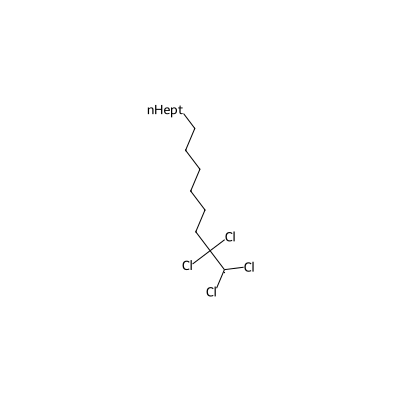 CCCCCCCCCCCCCC(Cl)(Cl)[C](Cl)Cl